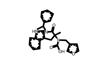 CC(NC(=O)C(C)(Cc1c[nH]c2ccccc12)N(Cc1ccoc1)C(=O)O)c1ccccc1